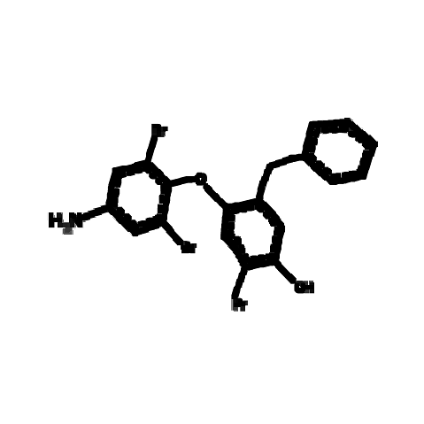 CC(C)c1cc(Oc2c(Br)cc(N)cc2Br)c(Cc2ccccc2)cc1O